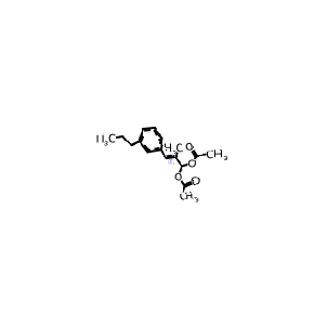 CCCc1cccc(/C=C(\C)C(OC(C)=O)OC(C)=O)c1